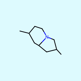 CC1CCN2CC(C)CC2C1